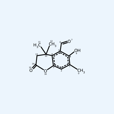 Cc1cc2c(c(C=O)c1O)C(C)(C)CC(=O)O2